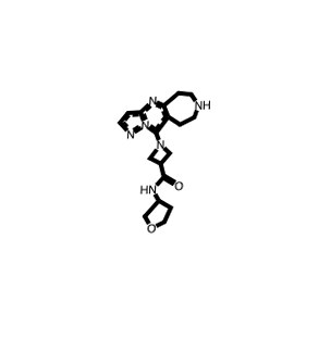 O=C(NC1CCOC1)C1CN(c2c3c(nc4ccnn24)CCNCC3)C1